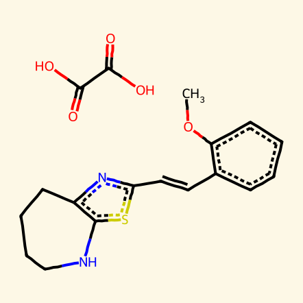 COc1ccccc1C=Cc1nc2c(s1)NCCCC2.O=C(O)C(=O)O